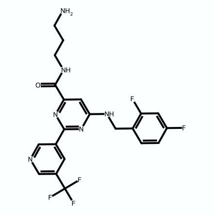 NCCCNC(=O)c1cc(NCc2ccc(F)cc2F)nc(-c2cncc(C(F)(F)F)c2)n1